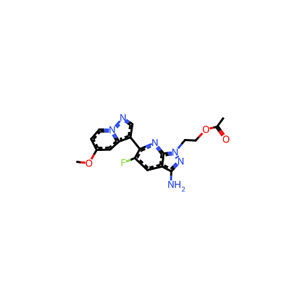 COc1ccn2ncc(-c3nc4c(cc3F)c(N)nn4CCOC(C)=O)c2c1